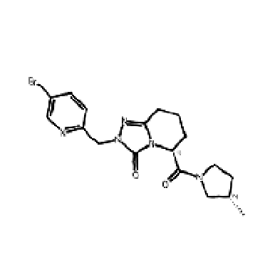 C[C@H]1CCN(C(=O)[C@@H]2CCCc3nn(Cc4ccc(Br)cn4)c(=O)n32)C1